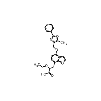 CCOC(Cc1ccc(OCc2nc(-c3ccccc3)oc2C)c2ccoc12)C(=O)O